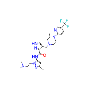 Cc1cc(NC(=O)c2n[nH]cc2CN2CCN(c3ccc(C(F)(F)F)cn3)C(C)C2)n(CCN(C)C)n1